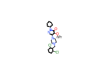 CCCOc1c(N2CCN(Cc3c(Cl)cccc3Cl)CC2)cnn(-c2ccccc2)c1=O